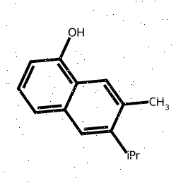 Cc1cc2c(O)cccc2cc1C(C)C